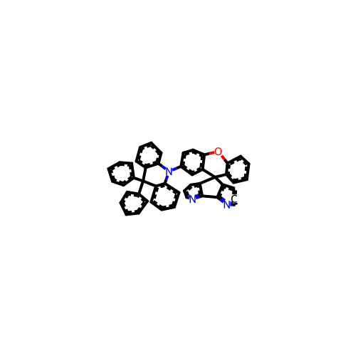 c1ccc(C2(c3ccccc3)c3ccccc3N(c3ccc4c(c3)C3(c5ccccc5O4)c4cccnc4-c4ncccc43)c3ccccc32)cc1